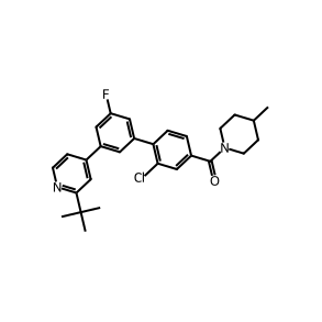 CC1CCN(C(=O)c2ccc(-c3cc(F)cc(-c4ccnc(C(C)(C)C)c4)c3)c(Cl)c2)CC1